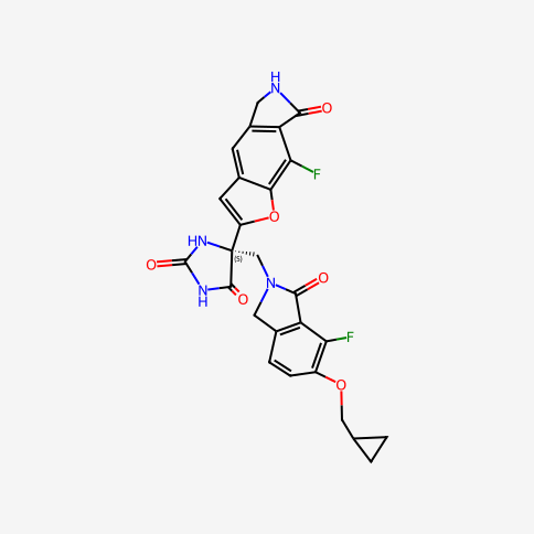 O=C1NC(=O)[C@](CN2Cc3ccc(OCC4CC4)c(F)c3C2=O)(c2cc3cc4c(c(F)c3o2)C(=O)NC4)N1